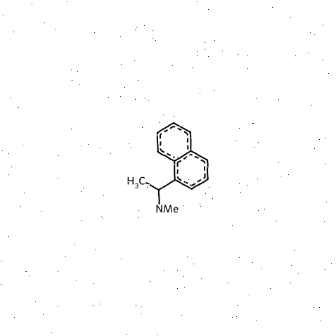 CNC(C)c1cccc2ccccc12